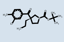 CCC[C@]1(C(=O)c2ccc(C)c(Cl)c2)CCN(C(=O)OC(C)(C)C)C1